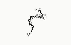 CCCCCCc1ccc(-c2ccc(-c3ccc(-c4ccc(CCCCCC[Si](C)(C)O[Si](C)(C)CCCCC)s4)s3)s2)s1